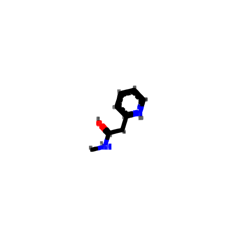 CNC(=O)Cc1c[c]ccn1